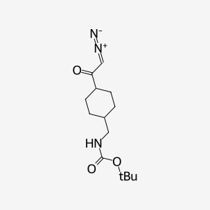 CC(C)(C)OC(=O)NCC1CCC(C(=O)C=[N+]=[N-])CC1